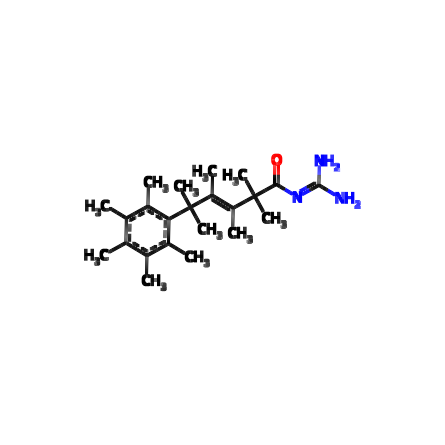 CC(=C(C)C(C)(C)c1c(C)c(C)c(C)c(C)c1C)C(C)(C)C(=O)N=C(N)N